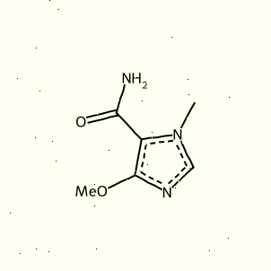 COc1ncn(C)c1C(N)=O